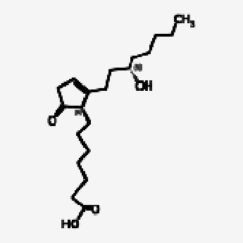 CCCCC[C@H](O)CCC1=CCC(=O)[C@@H]1CCCCCCC(=O)O